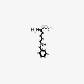 NC(CCCCNCc1ccccc1)C(=O)O